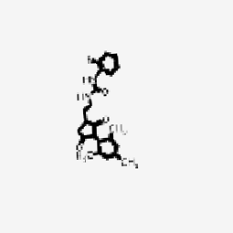 Cc1cc(C)c(C2C(=O)CC(CCNC(=O)Nc3ccccc3F)C2=O)c(C)c1